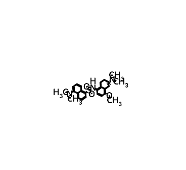 COc1ccc(NS(=O)(=O)c2cccc3c(N(C)C)cccc23)c2c1C[C@@H](N(C)C)CC2